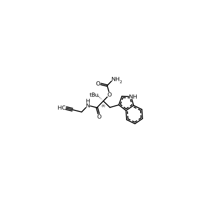 C#CCNC(=O)[C@](Cc1c[nH]c2ccccc12)(OC(N)=O)C(C)(C)C